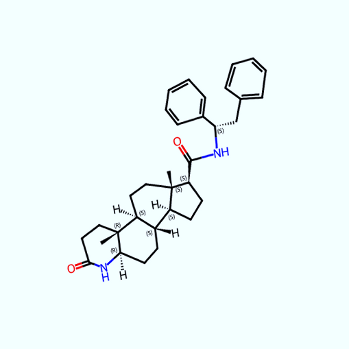 C[C@]12CCC(=O)N[C@@H]1CC[C@@H]1[C@@H]2CC[C@]2(C)[C@@H](C(=O)N[C@@H](Cc3ccccc3)c3ccccc3)CC[C@@H]12